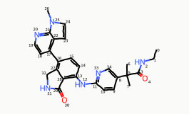 CCNC(=O)C(C)(C)c1ccc(Nc2ccc(-c3ccnc4c3ccn4C)c3c2C(=O)NC3)nc1